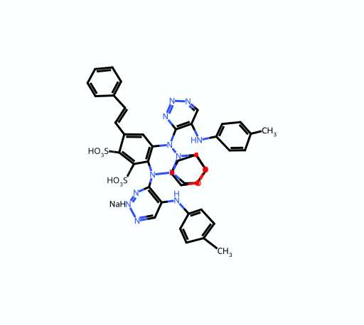 Cc1ccc(Nc2cnnnc2N(c2cc(C=Cc3ccccc3)c(S(=O)(=O)O)c(S(=O)(=O)O)c2N(c2nnncc2Nc2ccc(C)cc2)N2CCOCC2)N2CCOCC2)cc1.[NaH]